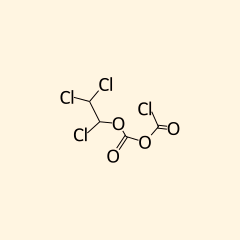 O=C(Cl)OC(=O)OC(Cl)C(Cl)Cl